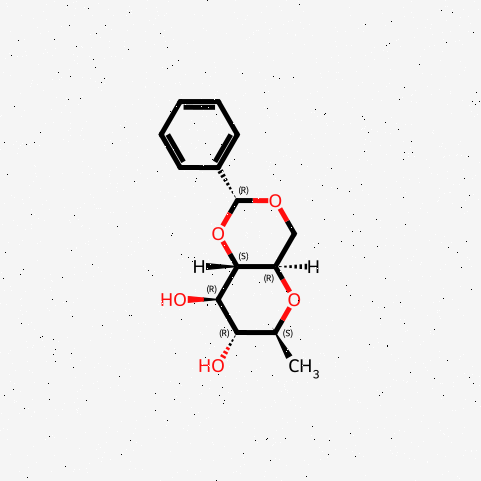 C[C@@H]1O[C@@H]2CO[C@@H](c3ccccc3)O[C@H]2[C@H](O)[C@H]1O